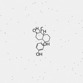 C[C@@H]1C(=O)CC[C@]2(c3ccc(O)cc3)[C@@H](O)CCC[C@@H]12